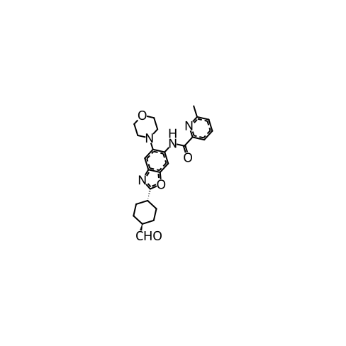 Cc1cccc(C(=O)Nc2cc3oc([C@H]4CC[C@H](C=O)CC4)nc3cc2N2CCOCC2)n1